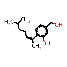 C/C(=C/CCC(C)C)c1ccc(CO)cc1O